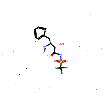 O=C(NS(=O)(=O)C(F)(F)F)[C@@H](O)[C@H](Cc1ccccc1)NCl